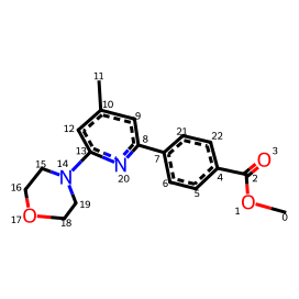 COC(=O)c1ccc(-c2cc(C)cc(N3CCOCC3)n2)cc1